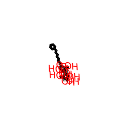 OCC1O[C@H](O[C@@H]2C(CO)O[C@@H](OCCCCCCCC3CCCCC3)C(O)C2O)C(O)C(O)[C@@H]1O